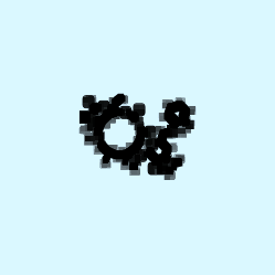 CC[C@H]1OC(=O)SC(=O)[C@H](C)[C@@H](O[C@@H]2OC(CNc3ccccc3F)CC(N(C)C)C2O)[C@](C)(OC)C[C@@H](C)CN[C@H](C)[C@H]2NC(=O)O[C@@]21C